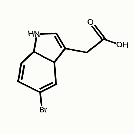 O=C(O)CC1=CNC2C=CC(Br)=CC12